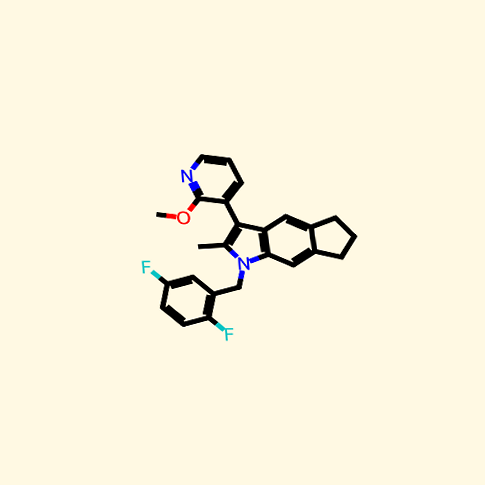 COc1ncccc1-c1c(C)n(Cc2cc(F)ccc2F)c2cc3c(cc12)CCC3